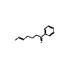 C/C=C/CCCC(=O)c1ccccc1